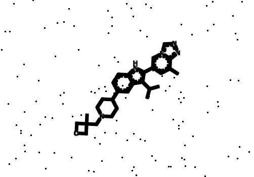 Cc1cc(-c2[nH]c3ccc(C4CCN(CC5(C)COC5)CC4)cc3c2C(C)C)cn2cnnc12